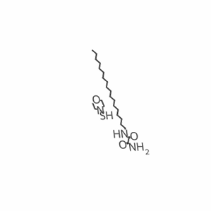 CCCCCCCCCCCCCCCCCCNC(=O)C(N)=O.SN1CCOCC1